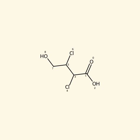 O=C(O)C(Cl)C(Cl)CO